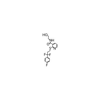 O=C(NCCO)c1cccnc1SCCC(F)(F)c1ccc(F)cc1